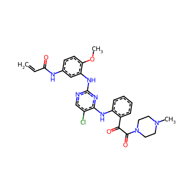 C=CC(=O)Nc1ccc(OC)c(Nc2ncc(Cl)c(Nc3ccccc3C(=O)C(=O)N3CCN(C)CC3)n2)c1